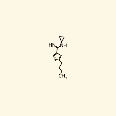 CCCCc1cc(C(=N)NC2CC2)cs1